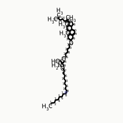 CCCCCCCC/C=C\CCCCCCCCOCC(N)(CO)COCCCCCCO[C@H]1CC[C@@]2(C)C(=CCC3C2CC[C@@]2(C)C3CC[C@@H]2[C@H](C)CCCC(C)C)C1